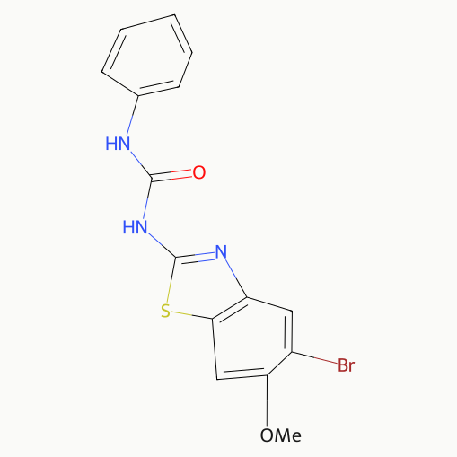 COc1cc2sc(NC(=O)Nc3ccccc3)nc2cc1Br